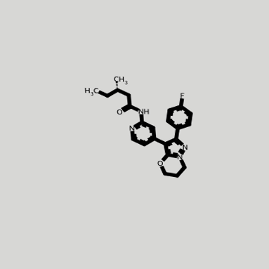 CC[C@H](C)CC(=O)Nc1cc(-c2c(-c3ccc(F)cc3)nn3c2OCCC3)ccn1